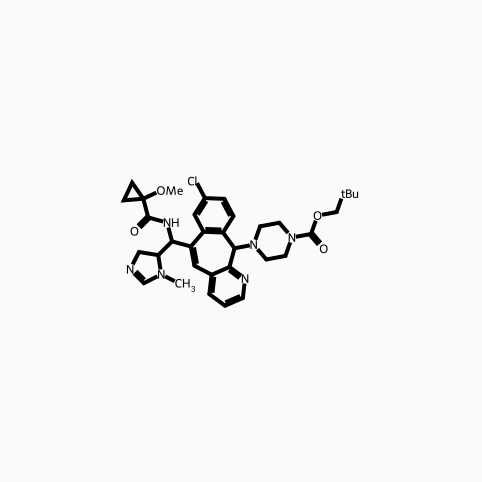 COC1(C(=O)NC(C2=Cc3cccnc3C(N3CCN(C(=O)OCC(C)(C)C)CC3)c3ccc(Cl)cc32)C2CN=CN2C)CC1